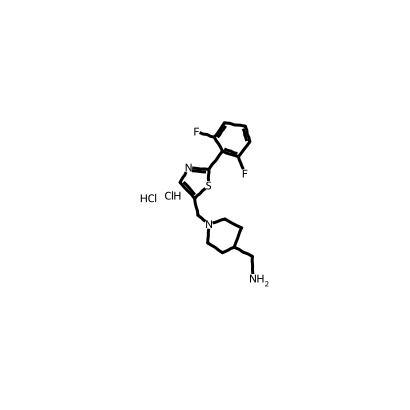 Cl.Cl.NCC1CCN(Cc2cnc(-c3c(F)cccc3F)s2)CC1